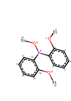 CCOc1ccccc1P(OCC)c1ccccc1OCC